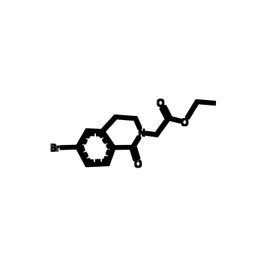 CCOC(=O)CN1CCc2cc(Br)ccc2C1=O